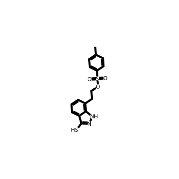 Cc1ccc(S(=O)(=O)OCCc2cccc3c(S)n[nH]c23)cc1